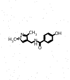 Cc1nn(C)cc1CNC(=O)c1ccc(O)cc1